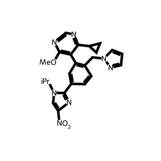 COc1ncnc(C2CC2)c1-c1cc(-c2nc([N+](=O)[O-])cn2C(C)C)ccc1Cn1cccn1